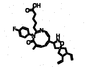 C=CC1CC2(CC(c3ccnc(CCCCC(=O)O)n(C4C=CC(F)=CC4)c(=O)c(C)cc3)NO2)CC1C=C